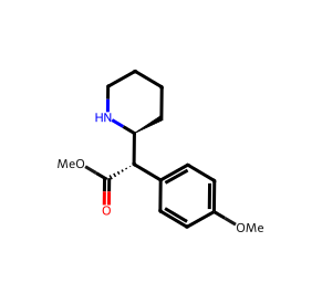 COC(=O)[C@@H](c1ccc(OC)cc1)[C@@H]1CCCCN1